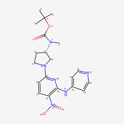 CN(C(=O)OC(C)(C)C)[C@H]1CCN(c2ccc([N+](=O)[O-])c(Nc3ccncc3)n2)C1